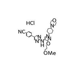 COCCCOc1nn(C2CCC(N3CCOCC3)CC2)cc1Nc1ncc(-c2ccc(C#N)cc2)cn1.Cl